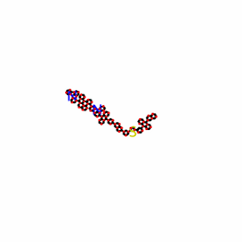 c1ccc(-c2c(-c3ccc4c5ccc(-c6c7ccccc7c(-c7ccc(-c8ccc9cc(-c%10cccc(-c%11ccc(-c%12cccc(-c%13c%14ccccc%14c(-c%14ccc%15ccccc%15c%14)c%14ccccc%13%14)c%12)s%11)c%10)ccc9c8)cc7)c7ccccc67)c6c7ccccc7n(c4c3)c56)cccc2-c2c3ccccc3c(-c3cccc4c3c3cccc5c6ccccc6n4c53)c3ccccc23)cc1